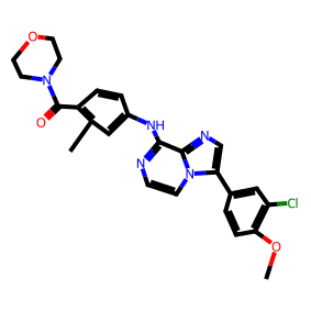 COc1ccc(-c2cnc3c(Nc4ccc(C(=O)N5CCOCC5)c(C)c4)nccn23)cc1Cl